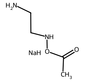 CC(=O)ONCCN.[NaH]